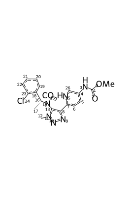 COC(=O)Nc1ccc(-c2nnn(C)c2N(C(=O)O)[C@H](C)c2ccccc2Cl)nc1